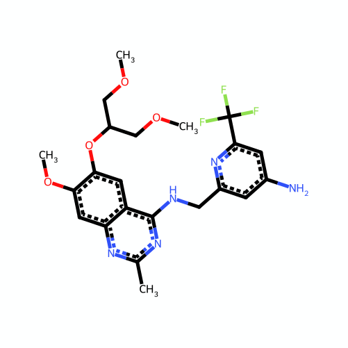 COCC(COC)Oc1cc2c(NCc3cc(N)cc(C(F)(F)F)n3)nc(C)nc2cc1OC